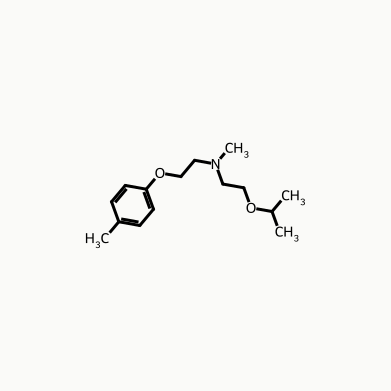 Cc1ccc(OCCN(C)CCOC(C)C)cc1